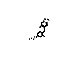 Cc1cc(N)ccc1Cc1ccc(N)cc1C